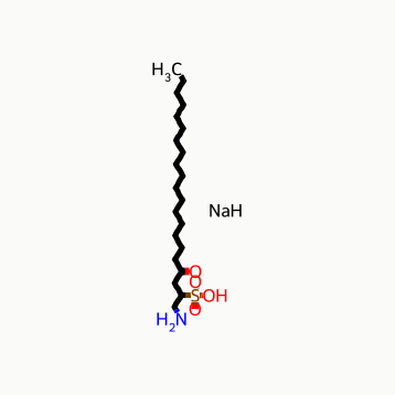 CCCCCCCCCCCCCCCCCC(=O)CC(CN)S(=O)(=O)O.[NaH]